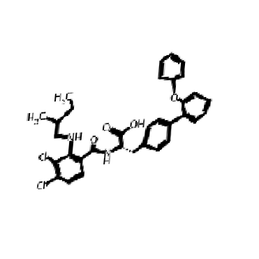 CCC(C)CNc1c(C(=O)N[C@@H](Cc2ccc(-c3ccccc3Oc3ccccc3)cc2)C(=O)O)ccc(Cl)c1Cl